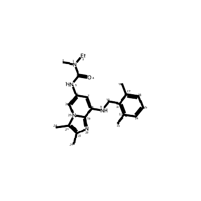 CCN(C)C(=O)Nc1cc(NCc2c(C)cccc2C)c2nc(C)c(C)n2c1